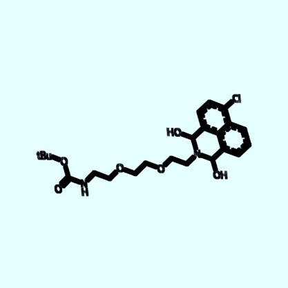 CC(C)(C)OC(=O)NCCOCCOCCN1C(O)c2cccc3c(Cl)ccc(c23)C1O